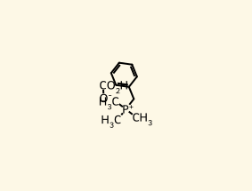 C[P+](C)(C)Cc1ccccc1.O=C([O-])O